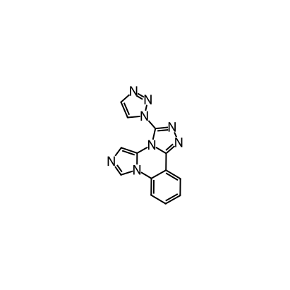 c1ccc2c(c1)c1nnc(-n3ccnn3)n1c1cncn21